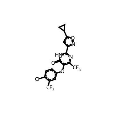 O=c1[nH]c(-c2cc(C3CC3)on2)nc(C(F)(F)F)c1Oc1ccc(Cl)c(C(F)(F)F)c1